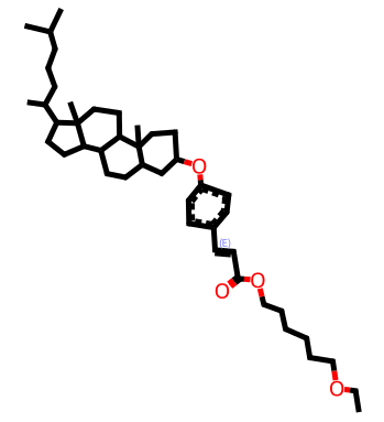 CCOCCCCCCOC(=O)/C=C/c1ccc(OC2CCC3(C)C(CCC4C3CCC3(C)C(C(C)CCCC(C)C)CCC43)C2)cc1